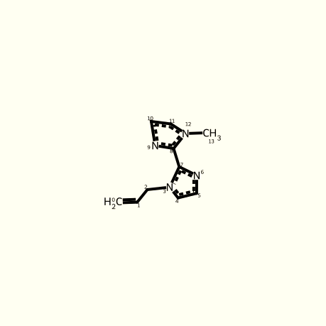 C=CCn1ccnc1-c1nccn1C